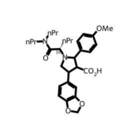 CCC[C@@H](C(=O)N(CCC)CCC)N1CC(c2ccc3c(c2)OCO3)C(C(=O)O)C1c1ccc(OC)cc1